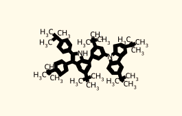 CC(C)(C)c1ccc(-c2[nH]c3c(-c4cc(-n5c6ccc(C(C)(C)C)cc6c6cc(C(C)(C)C)ccc65)cc(C(C)(C)C)c4)cc(C(C)(C)C)cc3c2-c2ccc(C(C)(C)C)cc2)cc1